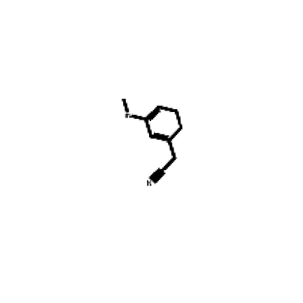 CNC1=CCCC(CC#N)=C1